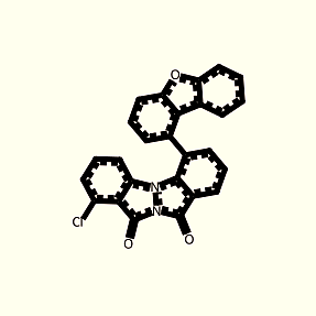 O=c1c2cccc(-c3cccc4oc5ccccc5c34)c2n2c3cccc(Cl)c3c(=O)n12